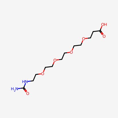 NC(=O)NCCOCCOCCOCCOCCC(=O)O